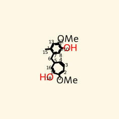 COC1=CC#CC(Cc2cc(O)c(OC)cc2C)C=C1O